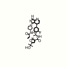 C=CC(=O)N[C@@H]1CCN(c2n[nH]c3nccc(-c4ccc(C(C)NC(=O)c5cc(C(C)(C)O)on5)c(F)c4)c23)C1